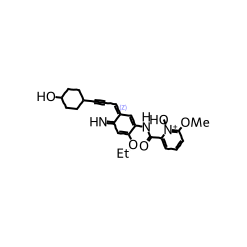 CCOC1=CC(=N)/C(=C\C#CC2CCC(O)CC2)C=C1NC(=O)c1cccc(OC)[n+]1O